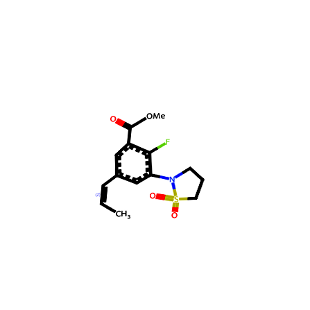 C/C=C\c1cc(C(=O)OC)c(F)c(N2CCCS2(=O)=O)c1